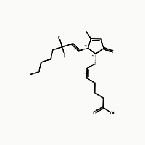 C=C1C=C(C)[C@H](/C=C/C(F)(F)CCCCC)[C@H]1C/C=C\CCCC(=O)O